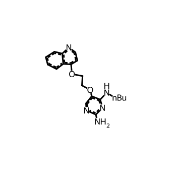 CCCCNc1nc(N)ncc1OCCOc1ccnc2ccccc12